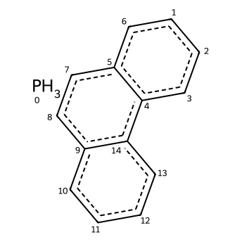 P.c1ccc2c(c1)ccc1ccccc12